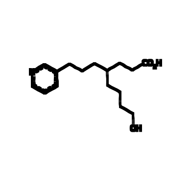 O=C(O)CCC(CCCCO)CCCc1cccnc1